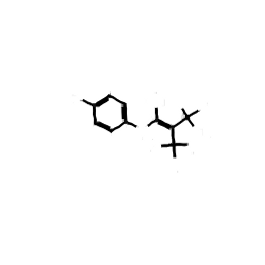 O=S(=O)(O)c1ccc(OC(=C(C(F)(C(F)(F)F)C(F)(F)F)C(F)(C(F)(F)F)C(F)(F)F)C(F)(F)F)cc1